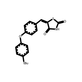 CC(C)(C)c1ccc(Oc2ccc(C=C3SC(=O)NC3=O)cc2)cc1